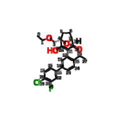 CCOC[C@]12CC[C@H](O1)C(=O)C(c1cc(-c3ccc(Cl)c(F)c3)ccc1CC)=C2O